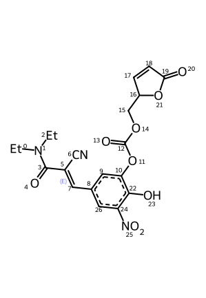 CCN(CC)C(=O)/C(C#N)=C/c1cc(OC(=O)OCC2C=CC(=O)O2)c(O)c([N+](=O)[O-])c1